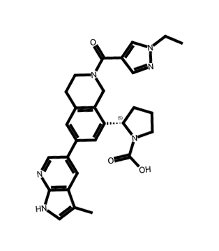 CCn1cc(C(=O)N2CCc3cc(-c4cnc5[nH]cc(C)c5c4)cc([C@@H]4CCCN4C(=O)O)c3C2)cn1